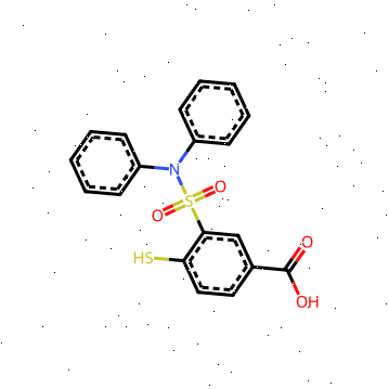 O=C(O)c1ccc(S)c(S(=O)(=O)N(c2ccccc2)c2ccccc2)c1